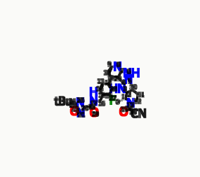 C[C@@H]1[C@H](Nc2n[nH]c3nccc(-c4ccc(CNC(=O)c5noc(C(C)(C)C)n5)c(F)c4)c23)CCCN1C(=O)C#N